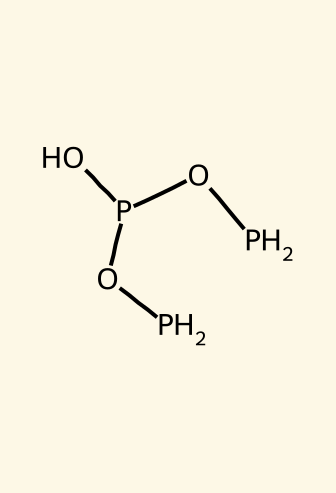 OP(OP)OP